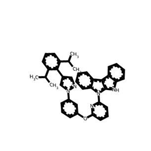 CC(C)c1cccc(C(C)C)c1-c1cnn(-c2cccc(Oc3cccc(-n4c5ccccc5c5c6ccccc6[nH]c54)n3)c2)c1